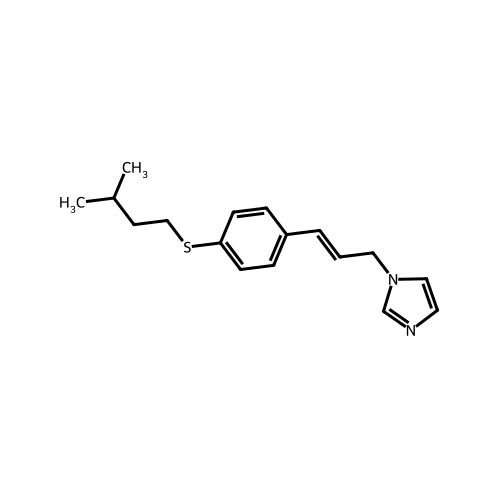 CC(C)CCSc1ccc(C=CCn2ccnc2)cc1